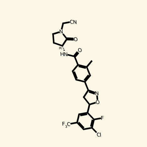 Cc1cc(C2=NOC(c3cc(C(F)(F)F)cc(Cl)c3F)C2)ccc1C(=O)N[C@@H]1CCN(CC#N)C1=O